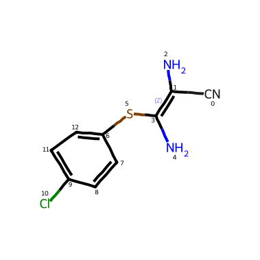 N#C/C(N)=C(\N)Sc1ccc(Cl)cc1